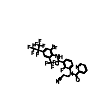 N#CCCN(C(=O)c1ccccn1)c1cccc(C(=O)Nc2c(Br)cc(C(F)(C(F)(F)F)C(F)(F)F)cc2C(F)(F)F)c1F